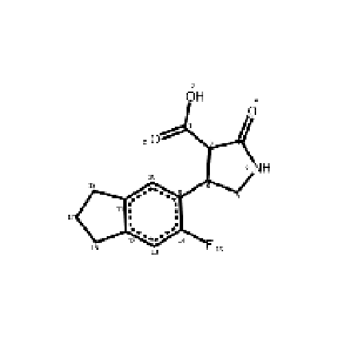 O=C(O)C1C(=O)NCC1c1cc2c(cc1F)CCC2